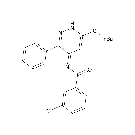 CCCCOc1cc(=NC(=O)c2cccc(Cl)c2)c(-c2ccccc2)n[nH]1